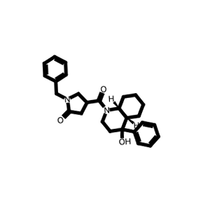 O=C1CC(C(=O)N2CCC(O)(c3ccccc3)[C@H]3CCCC[C@H]32)CN1Cc1ccccc1